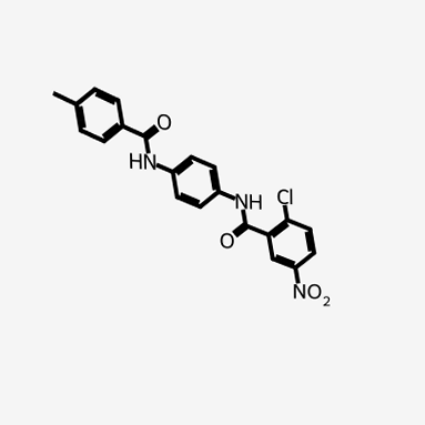 Cc1ccc(C(=O)Nc2ccc(NC(=O)c3cc([N+](=O)[O-])ccc3Cl)cc2)cc1